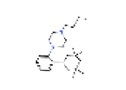 CCCCN1CCN(c2ccccc2C2CC(C)(C)CC(C)(C)C2)CC1